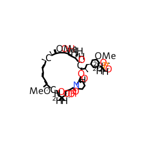 [2H]C([2H])([2H])[C@@H]1/C=C(\C)[C@@H](O)[C@@H](OC)C(=C)[C@H](C)C[C@H](C)/C=C/C=C/C=C(\C)[C@@H](OC)C[C@@H]2CC([2H])([2H])[C@@H](C)[C@@](O)(O2)C(=O)C(=O)N2CCCC[C@H]2C(=O)O[C@H]([C@H](C)C[C@@H]2CC[C@@H](OP(C)(=O)C([2H])([2H])[2H])[C@H](OC)C2)CC1=O